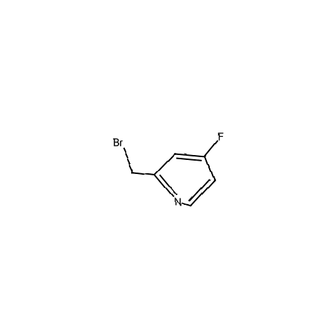 Fc1ccnc(CBr)c1